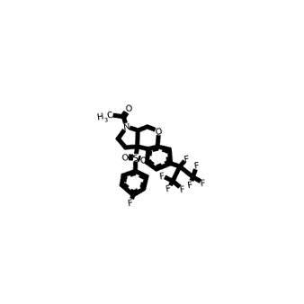 CC(=O)N1CCC2(S(=O)(=O)c3ccc(F)cc3)c3ccc(C(F)(C(F)(F)F)C(F)(F)F)cc3OCC12